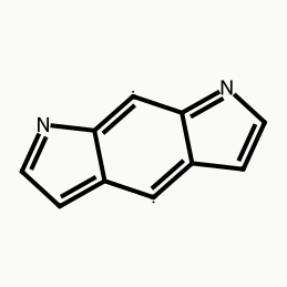 [c]1c2c([c]c3c1=CC=N3)=NC=C2